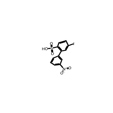 O=[N+]([O-])c1cccc(-c2cc(I)ccc2S(=O)(=O)O)c1